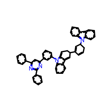 C1=CC(C2C=c3c(n(-c4cccc(-c5cc(-c6ccccc6)nc(-c6ccccc6)n5)c4)c4ccccc34)=CC2)=CC(n2c3ccccc3c3ccccc32)C1